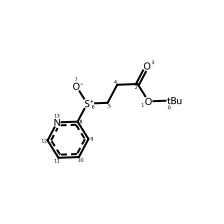 CC(C)(C)OC(=O)CC[S+]([O-])c1ccccn1